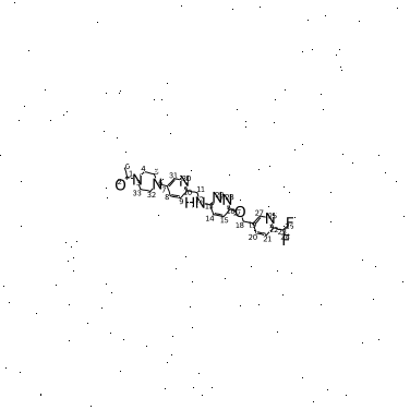 CC(=O)N1CCN(c2ccc(CNc3ccc(OCc4ccc(C(F)F)nc4)nn3)nc2)CC1